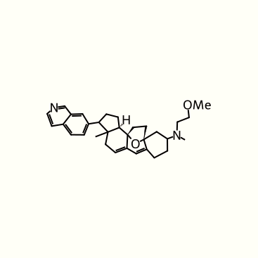 COCCN(C)C1CCC2=CC3=CCC4(C)C(c5ccc6ccncc6c5)CC[C@H]4[C@@]34CC[C@]2(C1)O4